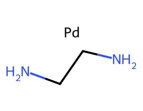 NCCN.[Pd]